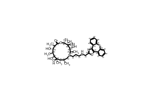 CC[C@H]1OC(=O)[C@H](C)[C@@H](O)[C@H](C)[C@@H](O)[C@](C)(O)C[C@@H](C)CN(CCCNCc2nc3c(o2)-c2ccccc2Sc2ccccc2-3)[C@H](C)[C@@H](O)[C@]1(C)O